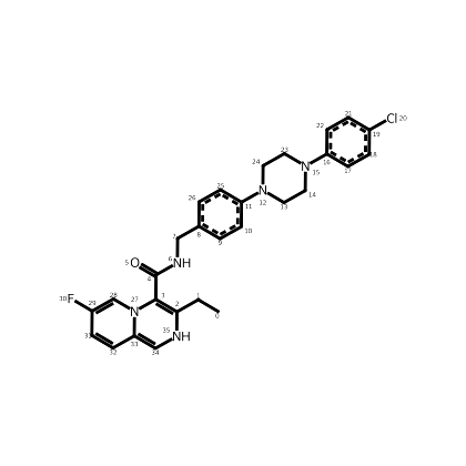 CCC1=C(C(=O)NCc2ccc(N3CCN(c4ccc(Cl)cc4)CC3)cc2)N2C=C(F)C=CC2=CN1